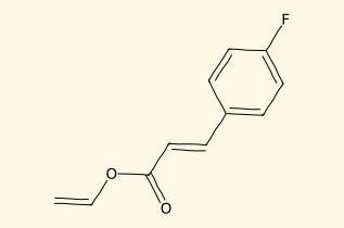 C=COC(=O)/C=C/c1ccc(F)cc1